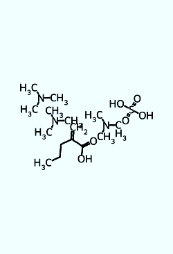 C=C(CCC)C(=O)O.CN(C)C.CN(C)C.CN(C)C.O=S(=O)(O)O